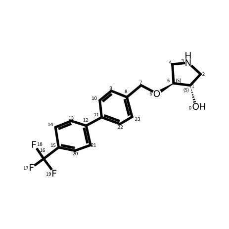 O[C@H]1CNC[C@@H]1OCc1ccc(-c2ccc(C(F)(F)F)cc2)cc1